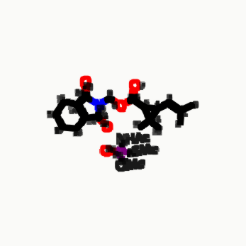 CC(C)=CC1C(C(=O)OCN2C(=O)C3=C(CCCC3)C2=O)C1(C)C.COP(=O)(NC(C)=O)SC